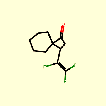 O=C1CC(C(F)=C(F)F)C12CCCCC2